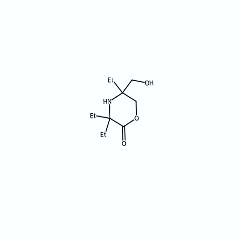 CCC1(CO)COC(=O)C(CC)(CC)N1